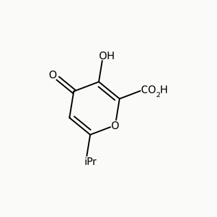 CC(C)c1cc(=O)c(O)c(C(=O)O)o1